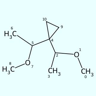 COC(C)C1(C(C)OC)CC1